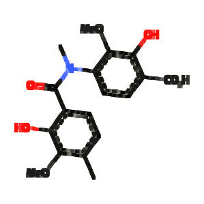 COc1c(C)ccc(C(=O)N(C)c2ccc(C(=O)O)c(O)c2OC)c1O